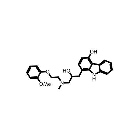 COc1ccccc1OCCN(C)CC(O)Cc1ccc(O)c2c1[nH]c1ccccc12